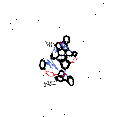 N#Cc1ccc2c(c1)c1ccccc1n2-c1ccc2c(c1)Oc1cccc(-n3c4ccccc4c4cc(C#N)ccc43)c1C21c2cccnc2-c2ncc(N3c4ccccc4Oc4ccccc43)cc21